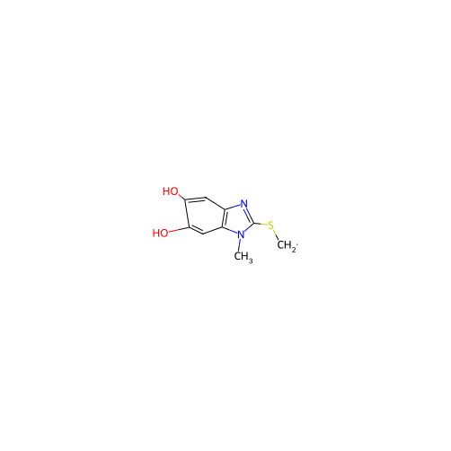 [CH2]Sc1nc2cc(O)c(O)cc2n1C